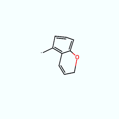 [CH2]c1cccc2c1C=CCO2